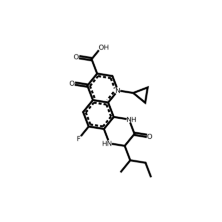 CCC(C)C1Nc2c(F)cc3c(=O)c(C(=O)O)cn(C4CC4)c3c2NC1=O